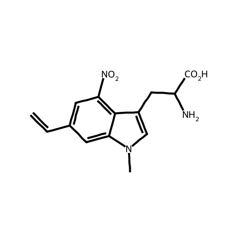 C=Cc1cc([N+](=O)[O-])c2c(CC(N)C(=O)O)cn(C)c2c1